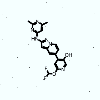 Cc1cc(Nc2cc3cc(-c4cc(OC(F)F)ncc4O)ccn3n2)nc(C)n1